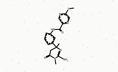 CSc1cnc(C(=O)Nc2cccc(C3(C)CC(=O)N(C)C(N)=N3)c2)cn1